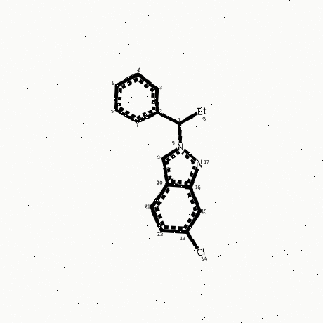 [CH2]CC(c1ccccc1)n1cc2ccc(Cl)cc2n1